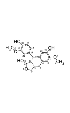 COc1cc(C[C@H]2COC(O)[C@@H]2Cc2ccc(O)c(OC)c2)ccc1O